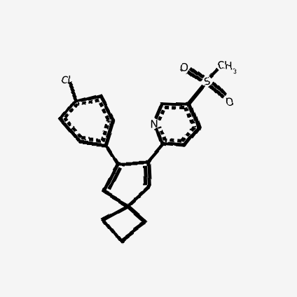 CS(=O)(=O)c1ccc(C2=CC3(C=C2c2ccc(Cl)cc2)CCC3)nc1